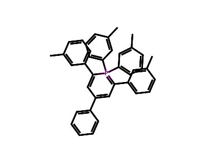 Cc1cccc(C2=CC(c3ccccc3)=CC(c3cccc(C)c3)=P2(c2cccc(C)c2)c2cccc(C)c2)c1